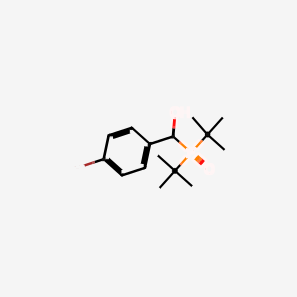 CC(C)(C)P(=O)(C(O)c1ccc(Br)cc1)C(C)(C)C